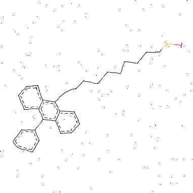 ISCCCCCCCCCCc1c2ccccc2c(-c2ccccc2)c2ccccc12